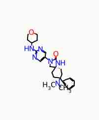 CN(C)[C@]1(c2ccccc2)CC[C@]2(CC1)CN(c1cnc(NC3CCOCC3)nc1)C(=O)N2